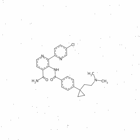 CN(C)CCC1(c2ccc(C(=O)Nc3c(C(N)=O)ccnc3-c3ccc(Cl)cn3)cc2)CC1